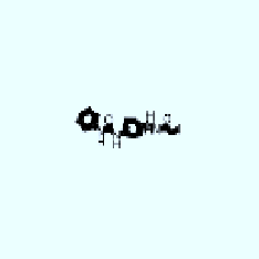 O=C(CI)NNc1ccc(NC(=O)Nc2ccccc2)cc1